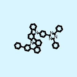 c1ccc(-c2ccc(-c3ccccc3)c(-n3c4ccccc4c4c3ccc3c5ccccc5n(-c5ccc(-c6nc(-c7ccccc7)nc(-c7ccccc7)n6)cc5)c34)c2)cc1